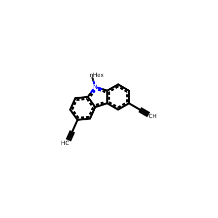 C#Cc1ccc2c(c1)c1cc(C#C)ccc1n2CCCCCC